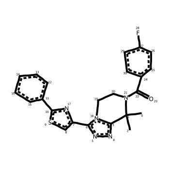 CC1(C)c2nnc(-c3csc(-c4ccccc4)n3)n2CCN1C(=O)c1ccc(F)cc1